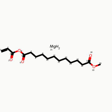 C=CC(=O)OC(=O)CCCCCCCCCCC(=O)OC.[MgH2]